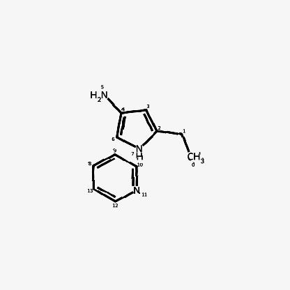 CCc1cc(N)c[nH]1.c1ccncc1